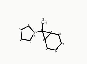 OC1(N2CCCC2)C2CCCCC21